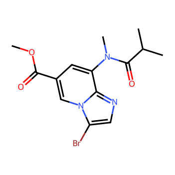 COC(=O)c1cc(N(C)C(=O)C(C)C)c2ncc(Br)n2c1